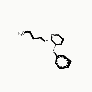 CCCCC[C@@H]1OCCC[C@@H]1Sc1ccccc1